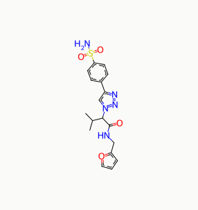 CC(C)C(C(=O)NCc1ccco1)n1cc(-c2ccc(S(N)(=O)=O)cc2)nn1